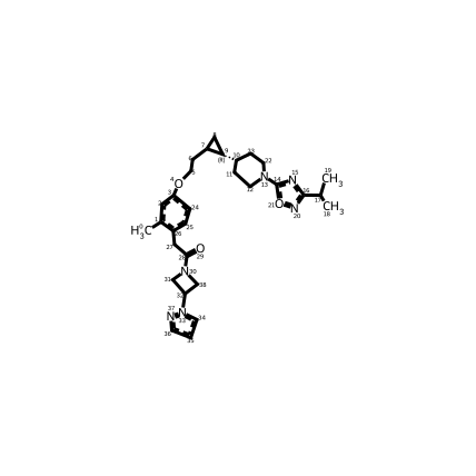 Cc1cc(OCCC2C[C@@H]2C2CCN(c3nc(C(C)C)no3)CC2)ccc1CC(=O)N1CC(n2cccn2)C1